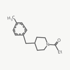 CCC(=O)N1CCC(Cc2ccc(C)cc2)CC1